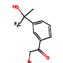 CC(O)(c1cccc(C(=O)CBr)c1)C(F)(F)F